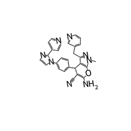 Cn1nc(Cc2cccnc2)c2c1OC(N)=C(C#N)C2c1ccc(-n2ccnc2-c2ccncc2)cc1